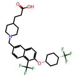 O=C(O)CCC1CCN(Cc2ccc3c(C(F)(F)F)c(O[C@H]4CC[C@@H](C(F)(F)F)CC4)ccc3c2)CC1